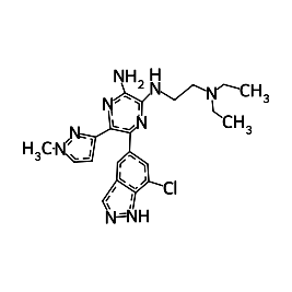 CCN(CC)CCNc1nc(-c2cc(Cl)c3[nH]ncc3c2)c(-c2ccn(C)n2)nc1N